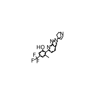 Cc1cc(C(F)(F)F)cc(O)c1-c1ccc2cn(C34CCN(CC3)C4)nc2n1